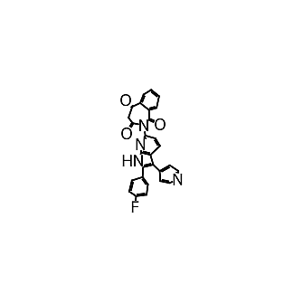 O=C1CC(=O)N(c2ccc3c(-c4ccncc4)c(-c4ccc(F)cc4)[nH]c3n2)C(=O)c2ccccc21